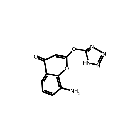 Nc1cccc2c(=O)cc(Oc3nnn[nH]3)oc12